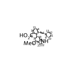 COc1cc(-c2c(C#Cc3ccccc3)cccc2C(=O)O)cc2[nH]ccc12